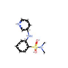 CN(C)S(=O)(=O)c1ccccc1Nc1cccnc1